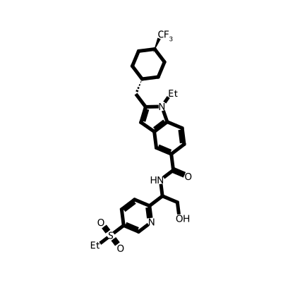 CCn1c(C[C@H]2CC[C@H](C(F)(F)F)CC2)cc2cc(C(=O)NC(CO)c3ccc(S(=O)(=O)CC)cn3)ccc21